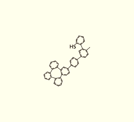 Cc1ccc(-c2ccc(-c3ccc4c(c3)-c3ccccc3-c3ccccc3-c3ccccc3-4)cc2)cc1-c1ccccc1S